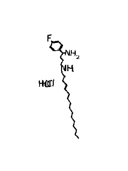 CCCCCCCCCCCCCCCCNCCCC(N)c1ccc(F)cc1.Cl.Cl